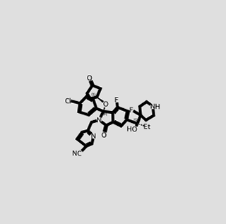 CC[C@](O)(c1cc(F)c2c(c1)C(=O)N(Cc1ccc(C#N)cn1)[C@@]2(O[C@H]1CCC(=O)C1)c1ccc(Cl)cc1)C1(F)CCNCC1